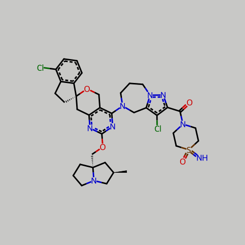 C[C@H]1CN2CCC[C@@]2(COc2nc3c(c(N4CCCn5nc(C(=O)N6CCS(=N)(=O)CC6)c(Cl)c5C4)n2)CO[C@@]2(CCc4c(Cl)cccc42)C3)C1